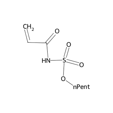 C=CC(=O)NS(=O)(=O)OCCCCC